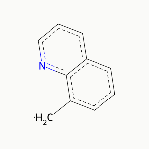 [CH2]c1cccc2cccnc12